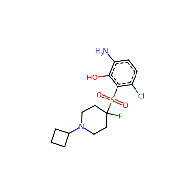 Nc1ccc(Cl)c(S(=O)(=O)C2(F)CCN(C3CCC3)CC2)c1O